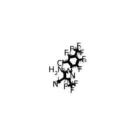 N#Cc1c(C(F)(F)F)nn(-c2c(F)c(F)c(C(F)(F)F)c(F)c2Cl)c1N